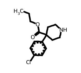 CCCOC(=O)C1(c2ccc(Cl)cc2)CCNCC1